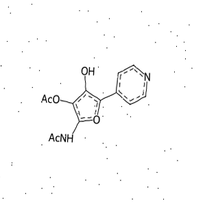 CC(=O)Nc1oc(-c2ccncc2)c(O)c1OC(C)=O